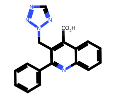 O=C(O)c1c(Cn2ncnn2)c(-c2ccccc2)nc2ccccc12